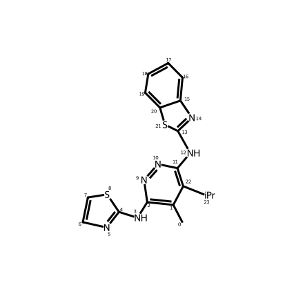 Cc1c(Nc2nccs2)nnc(Nc2nc3ccccc3s2)c1C(C)C